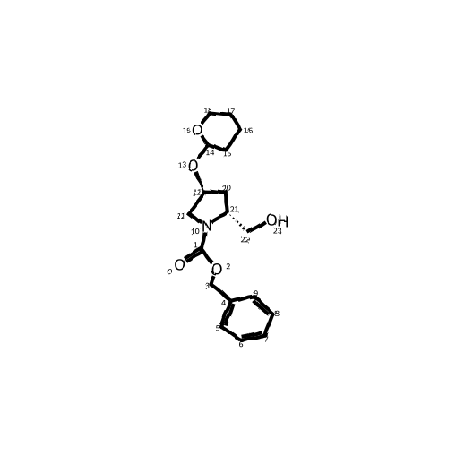 O=C(OCc1ccccc1)N1C[C@@H](OC2CCCCO2)C[C@@H]1CO